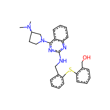 CN(C)[C@@H]1CCN(c2nc(NCc3ccccc3Sc3ccccc3CO)nc3ccccc23)C1